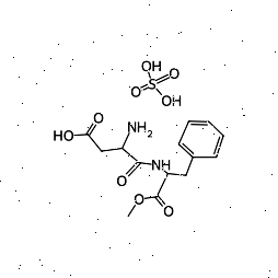 COC(=O)C(Cc1ccccc1)NC(=O)C(N)CC(=O)O.O=S(=O)(O)O